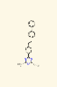 ClC(Cl)(Cl)c1nc(-c2ccc(C=Cc3ccc(-c4ccccc4)cc3)cc2)nc(C(Cl)(Cl)Cl)n1